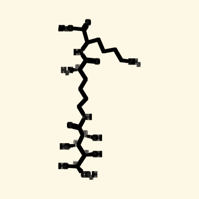 COC(=O)C(CCCCN)NC(=O)[C@@H](N)CCCCNC(=O)[C@H](O)[C@@H](O)[C@@H](O)[C@H](O)C(=O)O